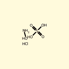 Cl.NO.O=S(=O)(O)O